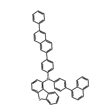 c1ccc(-c2ccc3cc(-c4ccc(N(c5ccc(-c6cccc7ccccc67)cc5)c5cccc6sc7ccccc7c56)cc4)ccc3c2)cc1